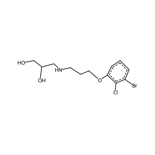 OCC(O)CNCCCOc1cccc(Br)c1Cl